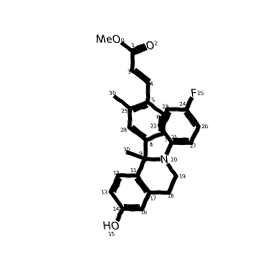 COC(=O)C=Cc1ccc(C2(C)c3ccc(O)cc3CCN2c2ccc(F)cc2)cc1C